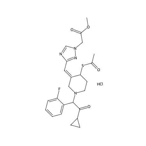 COC(=O)Cn1cnc(C=C2CN(C(C(=O)C3CC3)c3ccccc3F)CCC2SC(C)=O)n1.Cl